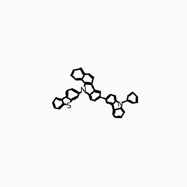 c1ccc(-n2c3ccccc3c3cc(-c4ccc5c(c4)c4ccc6ccccc6c4n5-c4ccc5c(c4)sc4ccccc45)ccc32)cc1